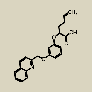 C=CCCC(Oc1cccc(OCc2ccc3ccccc3n2)c1)C(=O)O